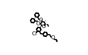 C=CCOCCc1ccc(Cc2cc([C@@H]3O[C@H](CC)[C@@H](C)[C@H](OCc4ccccc4)[C@H]3OCc3ccccc3)ccc2Cl)cc1